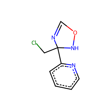 ClCC1(c2ccccn2)N=CON1